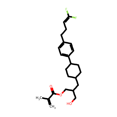 C=C(C)C(=O)OCC(CO)CC1CCC(c2ccc(CCC=C(F)F)cc2)CC1